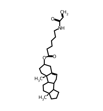 C=CC(=O)NCCCCCC(=O)OC1CC[C@]2(C)C(=CCC3C4CCC[C@]4(C)CCC32)C1